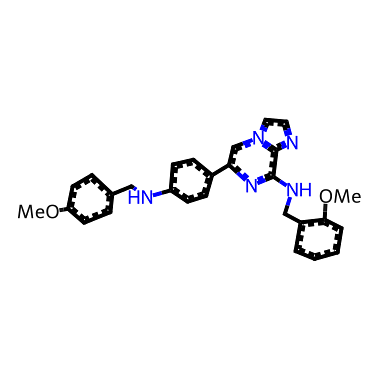 COc1ccc(CNc2ccc(-c3cn4ccnc4c(NCc4ccccc4OC)n3)cc2)cc1